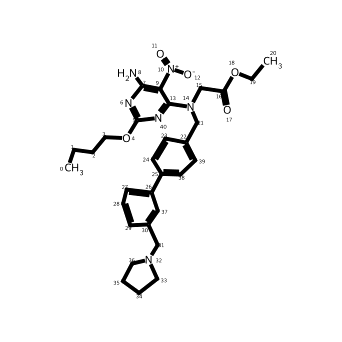 CCCCOc1nc(N)c([N+](=O)[O-])c(N(CC(=O)OCC)Cc2ccc(-c3cccc(CN4CCCC4)c3)cc2)n1